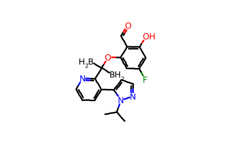 BC(B)(Oc1cc(F)cc(O)c1C=O)c1ncccc1-c1ccnn1C(C)C